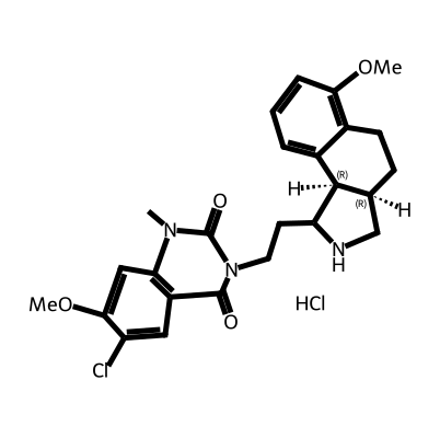 COc1cc2c(cc1Cl)c(=O)n(CCC1NC[C@@H]3CCc4c(OC)cccc4[C@H]13)c(=O)n2C.Cl